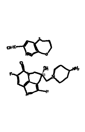 NC1CCN(C[C@]2(O)Cn3c(=O)c(F)cc4ncc(F)c2c43)CC1.O=Cc1cc2c(cn1)OCCS2